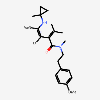 CC/C(C(C(=O)N(C)CCc1ccc(OC)cc1)=C(C)C)=C(\NC)NC1(C)CC1